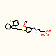 O=P(O)(O)CCCNCc1ccc(SCCCCC2(c3ccccc3F)CCCCC2)c(OC(F)(F)F)c1